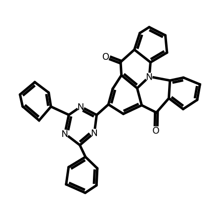 O=c1c2ccccc2n2c3ccccc3c(=O)c3cc(-c4nc(-c5ccccc5)nc(-c5ccccc5)n4)cc1c32